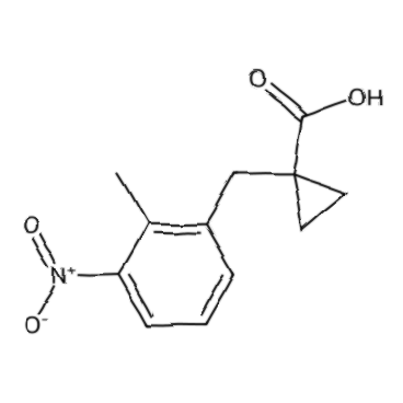 Cc1c(CC2(C(=O)O)CC2)cccc1[N+](=O)[O-]